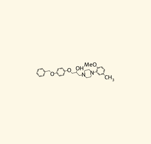 COc1ccc(C)cc1N1CCN(CC(O)COc2ccc(OCc3ccccc3)cc2)CC1